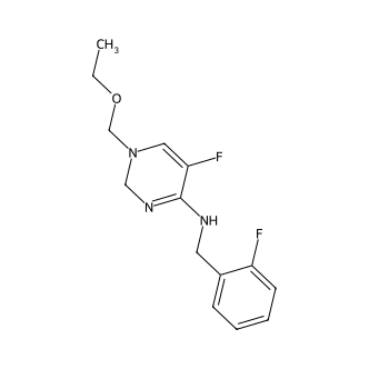 CCOCN1C=C(F)C(NCc2ccccc2F)=NC1